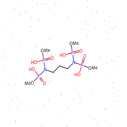 COP(=O)(O)N(CCCN(P(=O)(O)OC)P(=O)(O)OC)P(=O)(O)OC